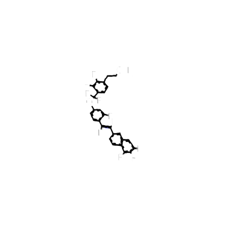 CCCc1ccc(C(F)(F)Oc2ccc(/C(F)=C(\F)c3ccc4c(F)c(F)c(F)cc4c3)c(F)c2)c(F)c1F